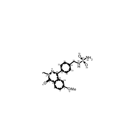 COc1ccc2c(=O)n(C)nc(-c3ccc(CNS(N)(=O)=O)cc3)c2c1